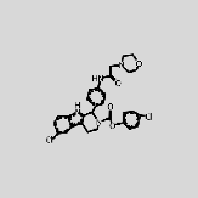 O=C(CN1CCOCC1)Nc1ccc(C2c3[nH]c4ccc(Cl)cc4c3CCN2C(=O)Oc2ccc(Cl)cc2)cc1